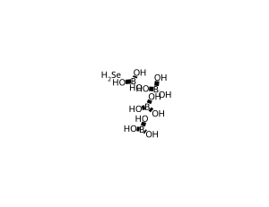 OB(O)O.OB(O)O.OB(O)O.OB(O)O.[SeH2]